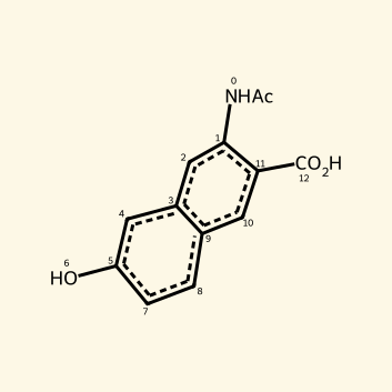 CC(=O)Nc1cc2cc(O)ccc2cc1C(=O)O